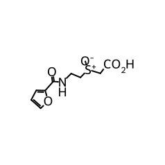 O=C(O)C[S+]([O-])CCNC(=O)c1ccco1